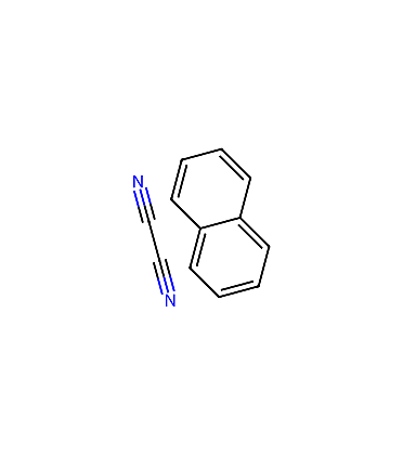 N#CC#N.c1ccc2ccccc2c1